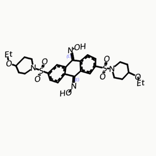 CCOC1CCN(S(=O)(=O)c2ccc3c(c2)/C(=N/O)c2ccc(S(=O)(=O)N4CCC(OCC)CC4)cc2/C3=N/O)CC1